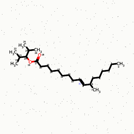 CCCCCCC(C)/C=C/CCCCCCCC(=O)OC(C(C)C)C(C)C